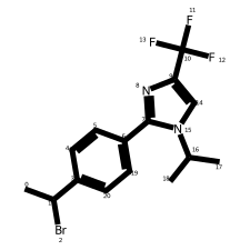 CC(Br)c1ccc(-c2nc(C(F)(F)F)cn2C(C)C)cc1